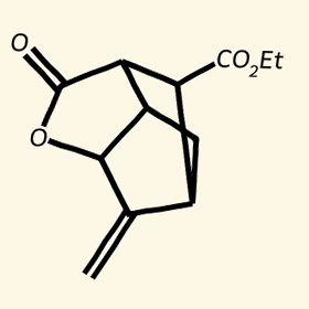 C=C1C2CC3C1OC(=O)C3C2C(=O)OCC